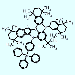 CC1(C)CCC(C)(C)C2=CC(N3c4cc5c(cc4B4c6sc7cc8c(cc7c6N(c6ccc([Si](c7ccccc7)(c7ccccc7)C7C=CC=CC7)cc6)c6cc(C(C)(C)C)cc3c64)C(C)(C)CCC8(C)C)C(C)(C)CCC5(C)C)CC=C21